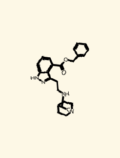 O=C(OCc1ccccc1)c1cccc2[nH]nc(CCNC3CN4CCC3CC4)c12